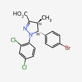 C[C@@H]1C(C(=O)O)=NN(c2ccc(Cl)cc2Cl)[C@H]1c1ccc(Br)cc1